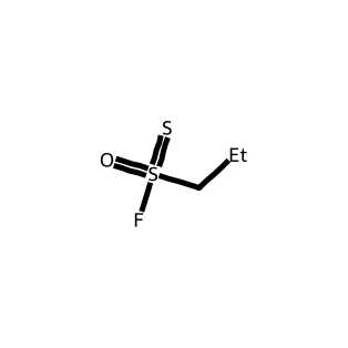 CCCS(=O)(F)=S